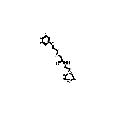 O=C(CSCCOc1ccccc1)NCCN1CCOCC1